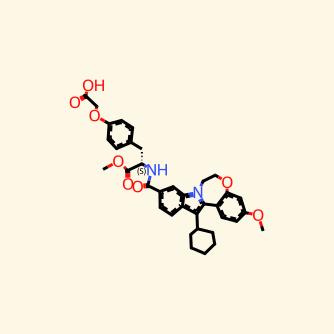 COC(=O)[C@H](Cc1ccc(OCC(=O)O)cc1)NC(=O)c1ccc2c(C3CCCCC3)c3n(c2c1)CCOc1cc(OC)ccc1-3